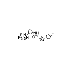 O=C(CCc1nc(-c2ccc(F)cc2)cs1)Nc1cccc(-c2noc(C(F)(F)F)n2)c1